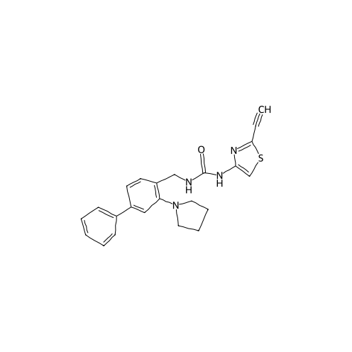 C#Cc1nc(NC(=O)NCc2ccc(-c3ccccc3)cc2N2CCCC2)cs1